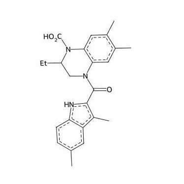 CCC1CN(C(=O)c2[nH]c3ccc(C)cc3c2C)c2cc(C)c(C)cc2N1C(=O)O